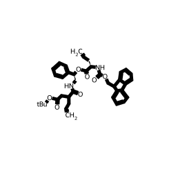 C=CCC(CC(=O)OC(C)(C)C)C(=O)NC[C@@H](OC(=O)[C@H](CC=C)NC(=O)OCC1c2ccccc2-c2ccccc21)c1ccccc1